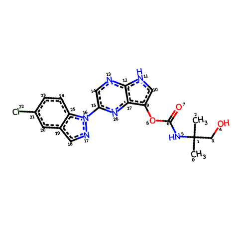 CC(C)(CO)NC(=O)Oc1c[nH]c2ncc(-n3ncc4cc(Cl)ccc43)nc12